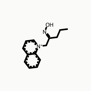 CCCC(C[n+]1cccc2ccccc21)=NO